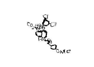 COc1ccc(CC(=O)Nc2cccc3c(N(CC(=O)O)S(=O)(=O)c4cc(Cl)cc(Cl)c4)cccc23)cc1